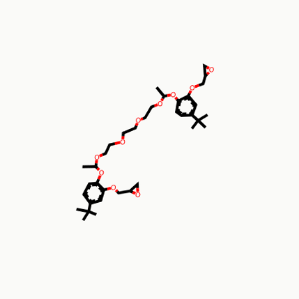 CC(OCCOCCOCCOC(C)Oc1ccc(C(C)(C)C)cc1OCC1CO1)Oc1ccc(C(C)(C)C)cc1OCC1CO1